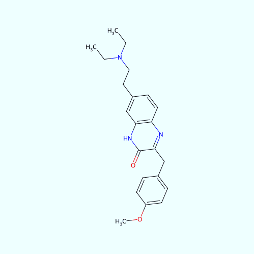 CCN(CC)CCc1ccc2nc(Cc3ccc(OC)cc3)c(=O)[nH]c2c1